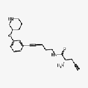 C#CC[C@H](N)C(=O)NCCCC#Cc1cccc(O[C@@H]2CCCNC2)c1